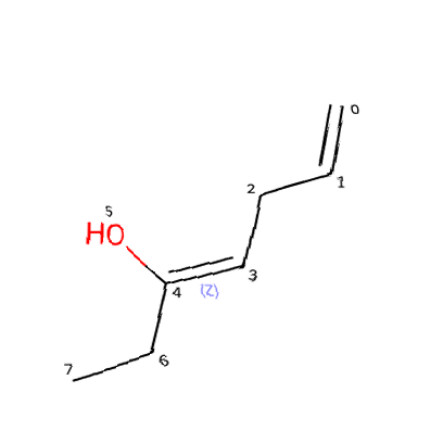 C=CC/C=C(\O)CC